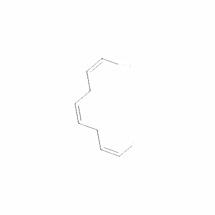 CC/C=C\C/C=C\C/C=C\C(C)(C)C